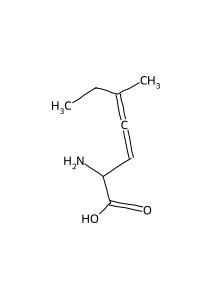 CCC(C)=C=CC(N)C(=O)O